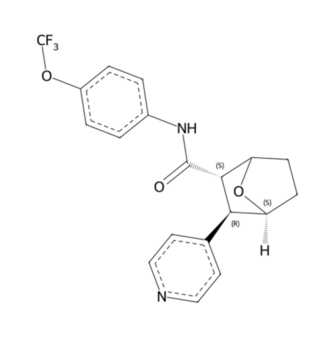 O=C(Nc1ccc(OC(F)(F)F)cc1)[C@@H]1C2CC[C@H](O2)[C@H]1c1ccncc1